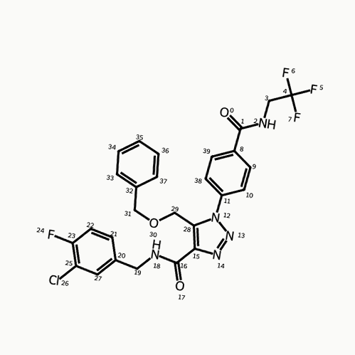 O=C(NCC(F)(F)F)c1ccc(-n2nnc(C(=O)NCc3ccc(F)c(Cl)c3)c2COCc2ccccc2)cc1